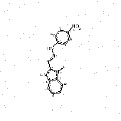 Cn1c(C=NNc2ccc([N+](=O)[O-])cn2)nc2ccccc21